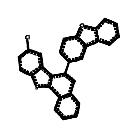 Clc1ccc2sc3c4ccccc4cc(-c4ccc5oc6ccccc6c5c4)c3c2c1